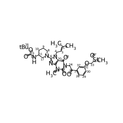 CC(C)=CCn1c(N2CCCC(NC(=O)OC(C)(C)C)C2)nc2c1c(=O)n(CC(=O)c1cccc(OC[S+](C)[O-])c1)c(=O)n2C